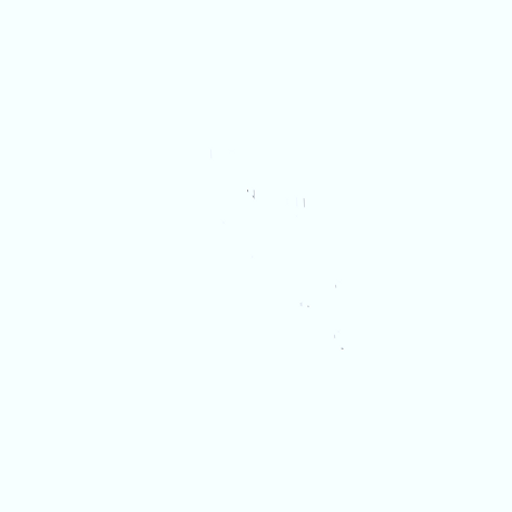 CN(C)CC1CC(C)(C)CCC1=O